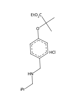 CCOC(=O)C(C)(C)Oc1ccc(CNCC(C)C)cc1.Cl